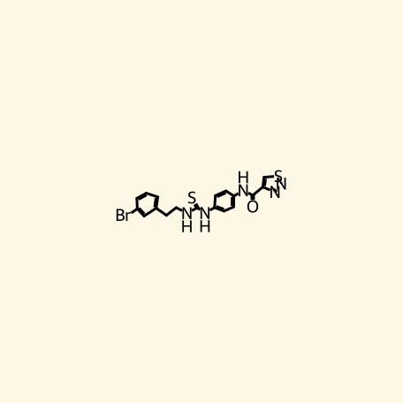 O=C(Nc1ccc(NC(=S)NCCc2cccc(Br)c2)cc1)c1csnn1